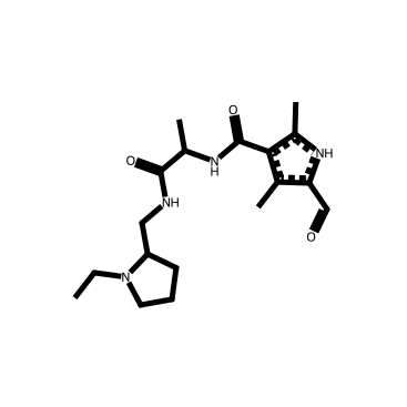 CCN1CCCC1CNC(=O)C(C)NC(=O)c1c(C)[nH]c(C=O)c1C